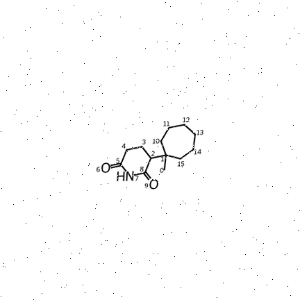 CC1(C2CCC(=O)NC2=O)CCCCCC1